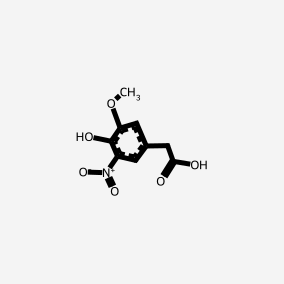 COc1cc(CC(=O)O)cc([N+](=O)[O-])c1O